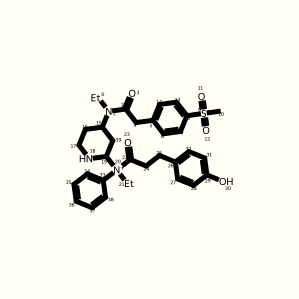 CCN(C(=O)Cc1ccc(S(C)(=O)=O)cc1)C1CCNC([N+](CC)(C(=O)CCc2ccc(O)cc2)c2ccccc2)C1